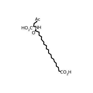 CC(=O)CC[C@H](NC(=O)CCCCCCCCCCCCCCCCCCC(=O)O)C(=O)O